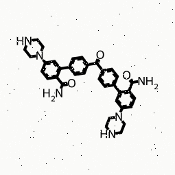 NC(=O)c1ccc(N2CCNCC2)cc1-c1ccc(C(=O)c2ccc(-c3cc(N4CCNCC4)ccc3C(N)=O)cc2)cc1